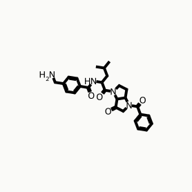 CC(C)CC(NC(=O)c1ccc(CN)cc1)C(=O)N1CCC2C1C(=O)CN2C(=O)c1ccccc1